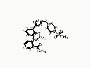 COc1c(Nc2ccncc2C(N)=O)cccc1-c1noc(CN2CCN(S(C)(=O)=O)CC2)n1